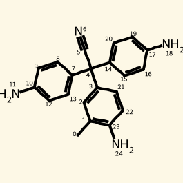 Cc1cc(C(C#N)(c2ccc(N)cc2)c2ccc(N)cc2)ccc1N